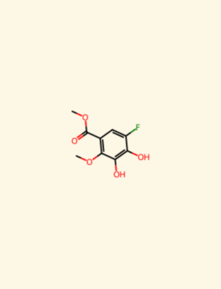 COC(=O)c1cc(F)c(O)c(O)c1OC